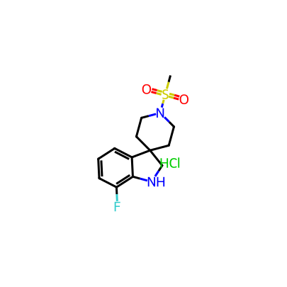 CS(=O)(=O)N1CCC2(CC1)CNc1c(F)cccc12.Cl